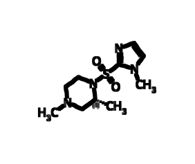 C[C@@H]1CN(C)CCN1S(=O)(=O)c1nccn1C